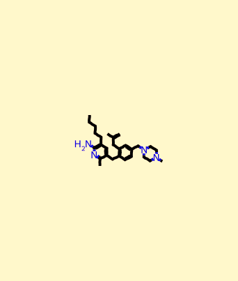 C=C(C)Cc1cc(CN2CCN(C)CC2)ccc1Cc1cc(CCCCC)c(N)nc1C